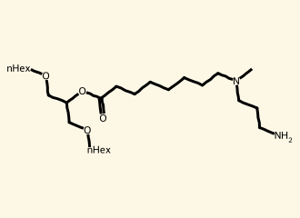 CCCCCCOCC(COCCCCCC)OC(=O)CCCCCCCN(C)CCCN